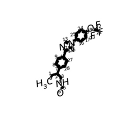 CCC(CNC=O)c1ccc(-c2ncn(-c3ccc(OC(F)(F)F)cc3)n2)cc1